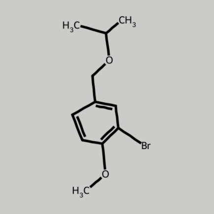 COc1ccc(COC(C)C)cc1Br